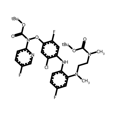 CN(CCN(C)c1cc(F)ccc1Nc1cc(F)c(ON(C(=O)OC(C)(C)C)c2ccc(F)cn2)cc1Cl)C(=O)OC(C)(C)C